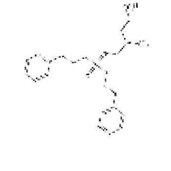 O=C(O)CCC(CN=S(=O)(CCCc1ccccc1)CCCc1ccccc1)C(=O)O